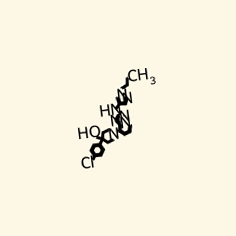 CCCCn1cc(Nc2nc3c(N4CCC(CO)(c5ccc(Cl)cc5)CC4)cccn3n2)cn1